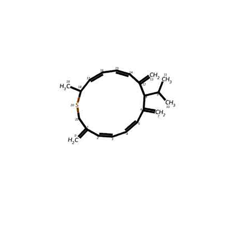 C=C1/C=C\C=C/C(=C)C(C(C)C)C(=C)/C=C\C=C/C(C)SC1